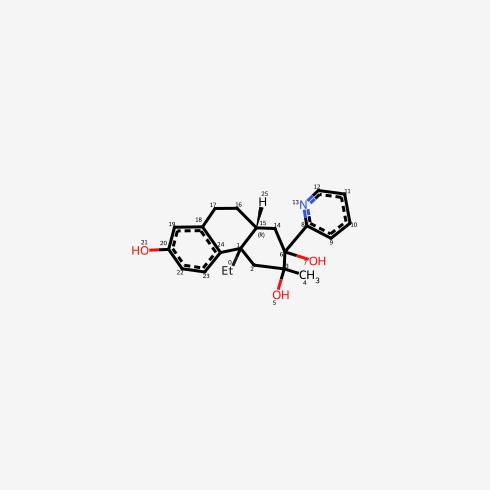 CCC12CC(C)(O)C(O)(c3ccccn3)C[C@H]1CCc1cc(O)ccc12